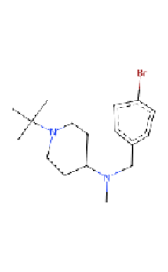 CN(Cc1ccc(Br)cc1)C1CCN(C(C)(C)C)CC1